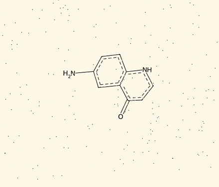 Nc1ccc2[nH]ccc(=O)c2c1